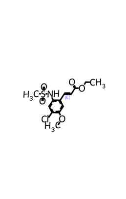 CCOC(=O)/C=C/c1cc(OC)c(Cl)cc1NS(C)(=O)=O